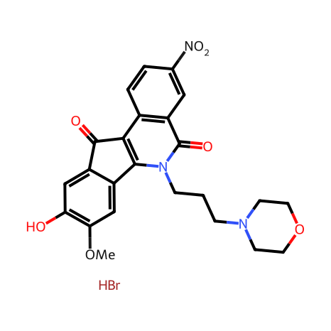 Br.COc1cc2c(cc1O)C(=O)c1c-2n(CCCN2CCOCC2)c(=O)c2cc([N+](=O)[O-])ccc12